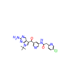 CC(C)(C)n1cc(C(=O)c2cncc(NC(=O)Cc3ccc(Cl)cn3)c2)c2cnc(N)nc21